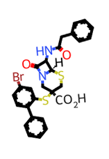 O=C(Cc1ccccc1)NC1C(=O)N2CC(Sc3cc(Br)ccc3-c3ccccc3)(C(=O)O)CS[C@H]12